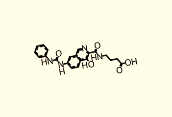 O=C(O)CCCNC(=O)c1ncc2cc(NC(=O)Nc3ccccc3)ccc2c1O